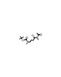 CC(=O)N(C)C(=O)CCCN(C)C(=O)OC(C)(C)C